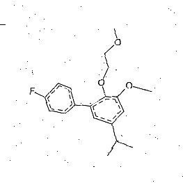 COCCOc1c(OC)cc(C(C)C)cc1-c1ccc(F)cc1